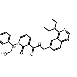 CCN(CC)c1ncnc2ccc(CNC(=O)c3cccn([C@H](CO)c4ccccc4)c3=O)cc12